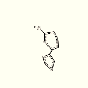 Nc1cccc(-c2cncs2)n1